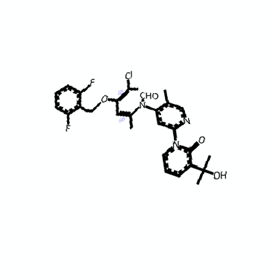 C/C(=C/C(OCc1c(F)cccc1F)=C(\C)Cl)N(C=O)c1cc(-n2cccc(C(C)(C)O)c2=O)ncc1C